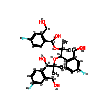 CCCC(C)(OB(O)c1ccc(F)cc1CO)B(OC(C)(C)B(O)c1ccc(F)cc1CO)c1ccc(F)cc1CO